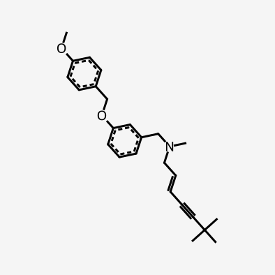 COc1ccc(COc2cccc(CN(C)CC=CC#CC(C)(C)C)c2)cc1